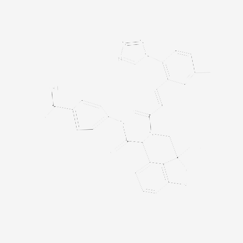 CC1(C)CN(C(=O)C=Cc2cc(Cl)ccc2-n2cnnn2)C(C(=O)Nc2ccc(C(=O)O)cc2)c2cccc(Br)c21